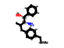 CC(=O)NCc1ccc(CC(C)[C@@H](N)[C@H](O)c2ccccc2)cc1